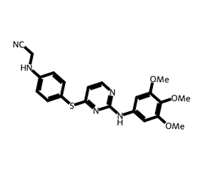 COc1cc(Nc2nccc(Sc3ccc(NCC#N)cc3)n2)cc(OC)c1OC